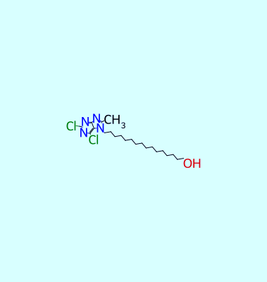 Cc1nc2nc(Cl)nc(Cl)c2n1CCCCCCCCCCCCCCCCO